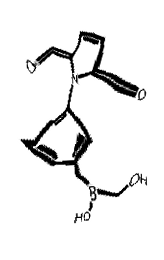 O=C1C=CC(=O)N1c1cccc(B(O)O)c1